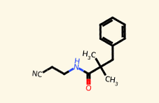 CC(C)(Cc1ccccc1)C(=O)NCCC#N